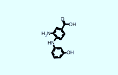 Nc1cc(C(=O)O)ccc1Nc1cccc(O)c1